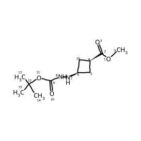 COC(=O)[C@H]1C[C@@H](NNC(=O)OC(C)(C)C)C1